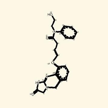 O=C1CN2Cc3cccc(OCCCC(=O)N(CCO)c4ccccc4)c3N=C2N1